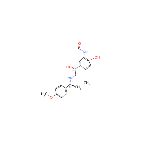 C.COc1ccc([C@H](C)NC[C@@H](O)c2ccc(O)c(NC=O)c2)cc1